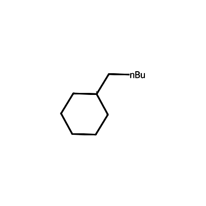 CCCCC[C]1CCCCC1